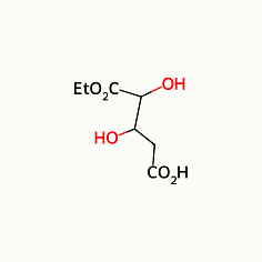 CCOC(=O)C(O)C(O)CC(=O)O